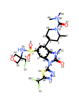 CC1CC(c2cc(S(=O)(=O)NC3(CF)COC3)cc3c2n(C)c(=O)n3-c2nnc(C(F)F)s2)=CCN1C(=O)N(C)C